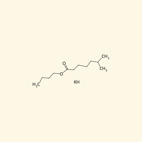 CCCCOC(=O)CCCCC(C)C.[KH]